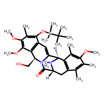 COc1c(C)c(C)c2c(c1C)[C@@H]1C3=Cc4c(O[Si](C)(C)C(C)(C)C)c(C)c(OC)c(OC)c4[C@H](CO)N3C(=O)[C@@H](C2)N1C